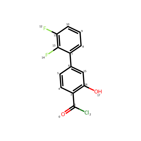 O=C(Cl)c1ccc(-c2cccc(F)c2F)cc1O